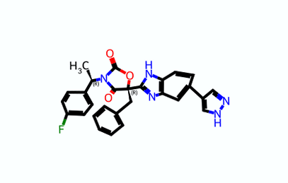 C[C@H](c1ccc(F)cc1)N1C(=O)O[C@](Cc2ccccc2)(c2nc3cc(-c4cn[nH]c4)ccc3[nH]2)C1=O